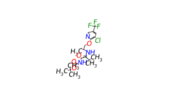 CC(COc1ncc(C(F)(F)F)cc1Cl)N[C@H](C(=O)NC(=O)OC(C)(C)C)C(C)C